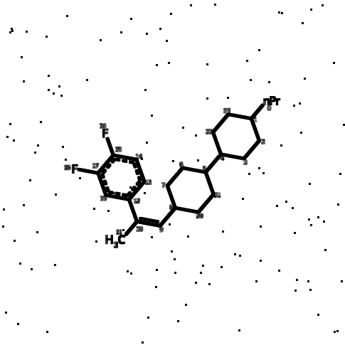 CCCC1CCC(C2CCC(C=C(C)c3ccc(F)c(F)c3)CC2)CC1